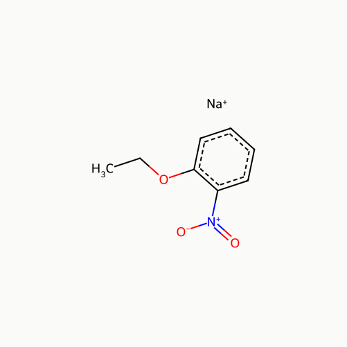 CCOc1ccccc1[N+](=O)[O-].[Na+]